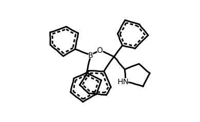 c1ccc(B(OC(c2ccccc2)(c2ccccc2)C2CCCN2)c2ccccc2)cc1